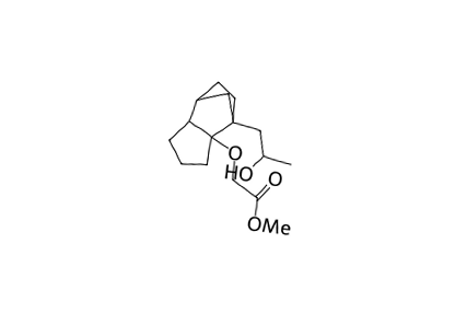 COC(=O)COC12CCCC1C1CCC2(CC(C)O)C1